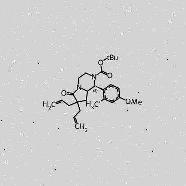 C=CCC1(CC=C)CC2[C@H](c3ccc(OC)cc3C)N(C(=O)OC(C)(C)C)CCN2C1=O